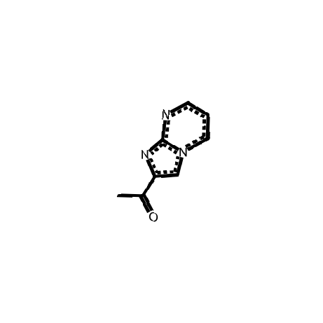 CC(=O)c1cn2cccnc2n1